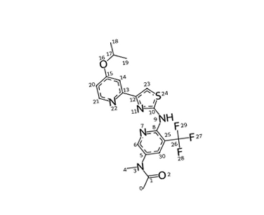 CC(=O)N(C)c1cnc(Nc2nc(-c3cc(OC(C)C)ccn3)cs2)c(C(F)(F)F)c1